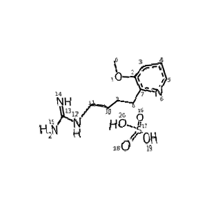 COc1cccnc1CCCCNC(=N)N.O=S(=O)(O)O